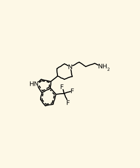 NCCCN1CCC(c2c[nH]c3cccc(C(F)(F)F)c23)CC1